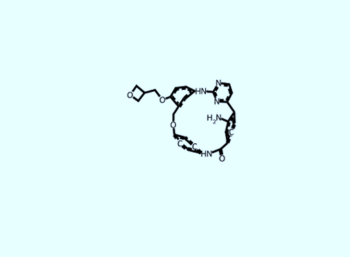 Nc1cc2ccc1-c1ccnc(n1)Nc1ccc(OCC3COC3)c(c1)COc1ccc(cc1)NC2=O